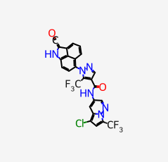 O=C=c1[nH]c2ccc(-n3ncc(C(=O)Nc4cnn5c(C(F)(F)F)cc(Cl)c5c4)c3C(F)(F)F)c3cccc1c23